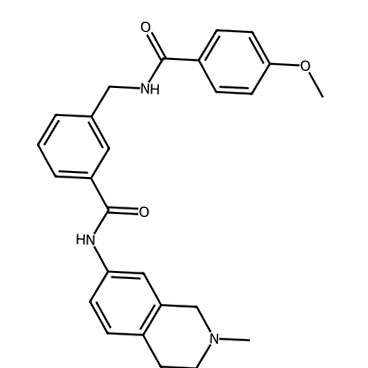 COc1ccc(C(=O)NCc2cccc(C(=O)Nc3ccc4c(c3)CN(C)CC4)c2)cc1